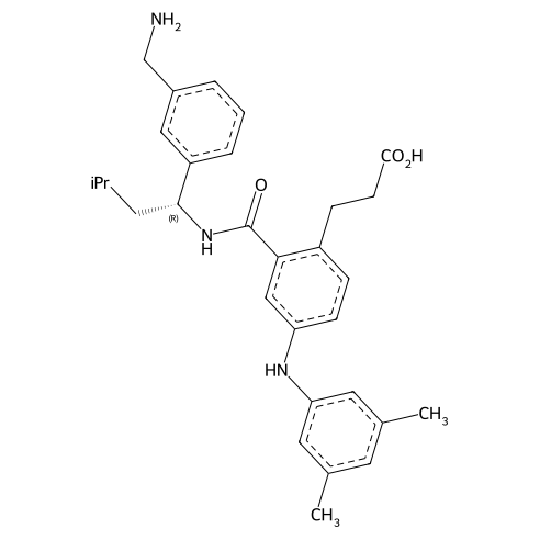 Cc1cc(C)cc(Nc2ccc(CCC(=O)O)c(C(=O)N[C@H](CC(C)C)c3cccc(CN)c3)c2)c1